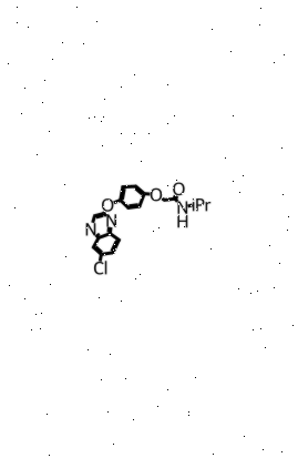 CC(C)NC(=O)COc1ccc(Oc2cnc3cc(Cl)ccc3n2)cc1